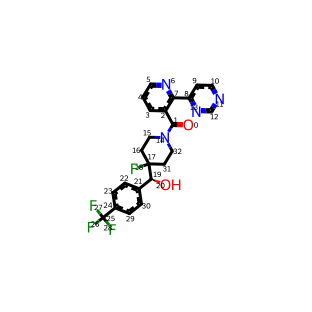 O=C(c1cccnc1-c1ccncn1)N1CCC(F)([C@@H](O)c2ccc(C(F)(F)F)cc2)CC1